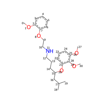 COc1ccccc1OCCNCCCC(CC(C)C)Oc1c[c]cc(OC)c1OC